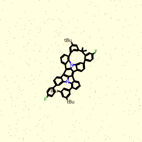 CC(C)(C)c1cc(-c2cccc3c4c5c6ccc7cc6n6c8c(cccc8c(c8c9ccc(-c%10ccc(F)cc%10)cc9n(c23)c84)c56)-c2cc(C(C)(C)C)cc(c2)C(C)(C)c2cc(F)ccc2-7)cc(C(C)(C)C)c1